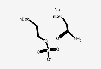 CCCCCCCCCCCC(N)=O.CCCCCCCCCCCCOS(=O)(=O)[O-].[Na+]